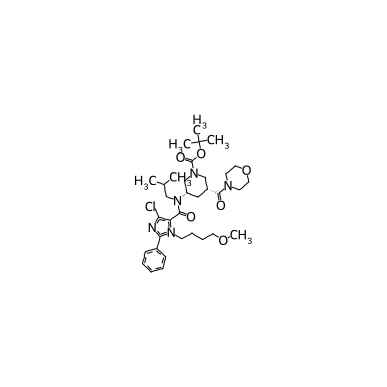 COCCCCn1c(-c2ccccc2)nc(Cl)c1C(=O)N(CC(C)C)[C@H]1C[C@@H](C(=O)N2CCOCC2)CN(C(=O)OC(C)(C)C)C1